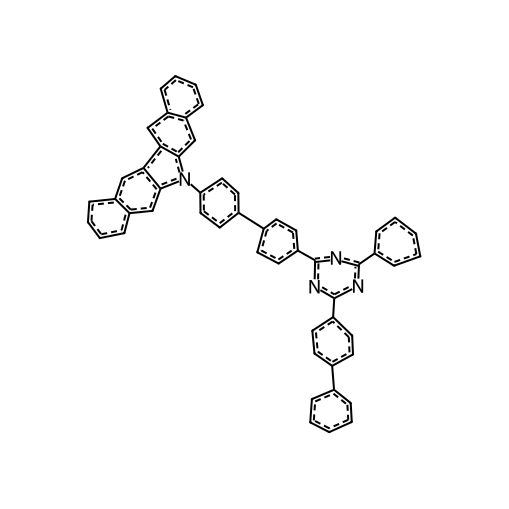 c1ccc(-c2ccc(-c3nc(-c4ccccc4)nc(-c4ccc(-c5ccc(-n6c7cc8ccccc8cc7c7cc8ccccc8cc76)cc5)cc4)n3)cc2)cc1